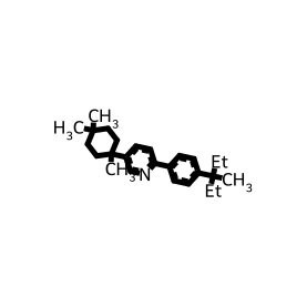 CCC(C)(CC)c1ccc(-c2ccc(C3(C)CCC(C)(C)CC3)cn2)cc1